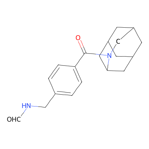 O=CNCc1ccc(C(=O)N2CC3CC4CC(C3)CC2C4)cc1